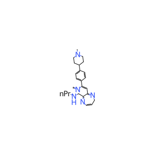 C=N/C(=C\C1=NCC=CN=C1CNCCC)c1ccc(C2CCN(C)CC2)cc1